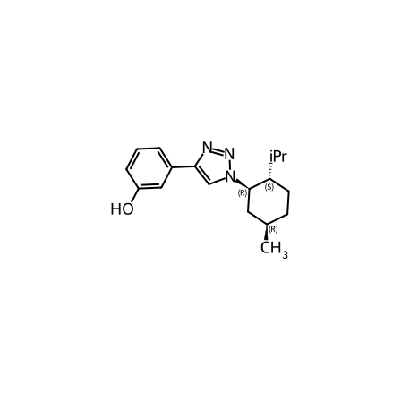 CC(C)[C@@H]1CC[C@@H](C)C[C@H]1n1cc(-c2cccc(O)c2)nn1